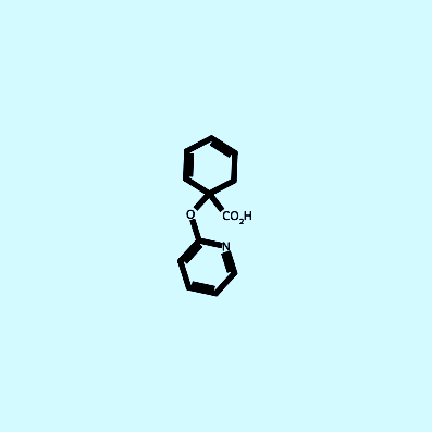 O=C(O)C1(Oc2ccccn2)C=CC=CC1